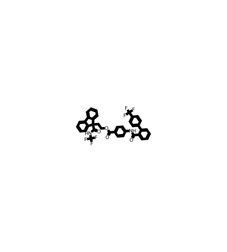 O=C(OCCC1(C(=O)NC(F)(F)F)c2ccccc2-c2ccccc21)c1ccc(NC(=O)c2ccccc2-c2ccc(C(F)(F)F)cc2)cc1